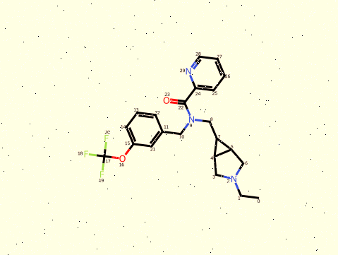 CCN1CC2C(C1)C2CN(Cc1cccc(OC(F)(F)F)c1)C(=O)c1ccccn1